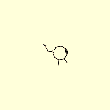 CC(C)CN1CCC#CC(C)C(C)C1